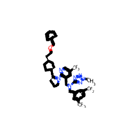 Cn1nnc(N(Cc2cc(C(F)(F)F)cc(C(F)(F)F)c2)Cc2cc(C(F)(F)F)cnc2N2CCC[C@@H]2[C@H]2CC[C@H](CCOCc3ccccc3)CC2)n1